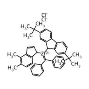 Cc1ccc2c(c1C)C=C[CH]2[Zr+2](=[C](c1ccccc1)c1ccccc1)[CH]1c2cc(C(C)(C)C)ccc2-c2ccc(C(C)(C)C)cc21.[Cl-].[Cl-]